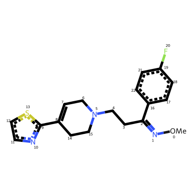 CO/N=C(/CCN1CC=C(c2nccs2)CC1)c1ccc(F)cc1